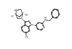 FC(F)(F)c1ccc2c(N3C[C@@H]4C[C@H]3CN4)nn(-c3ccnc(NCc4ccccc4)c3)c2c1